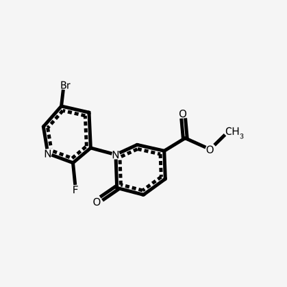 COC(=O)c1ccc(=O)n(-c2cc(Br)cnc2F)c1